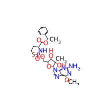 COc1nc(N)nc2c1ncn2[C@@H]1OC(CO[P@]2(=O)NC(C(=O)O[C@@H](C)c3ccccc3)CCS2)[C@@H](O)[C@@]1(C)O